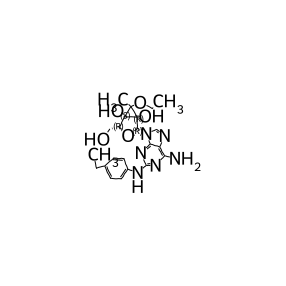 CCOC1(C)[C@]2(O)[C@@H](CO)O[C@@H](n3cnc4c(N)nc(Nc5ccc(CC)cc5)nc43)[C@]12O